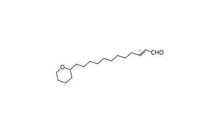 O=C/C=C/CCCCCCCCCC1CCCCO1